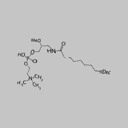 CCCCCCCCCCCCCCCCCC(=O)NCC(COP(=O)(O)OCC[N+](C)(C)C)OC